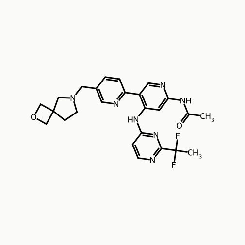 CC(=O)Nc1cc(Nc2ccnc(C(C)(F)F)n2)c(-c2ccc(CN3CCC4(COC4)C3)cn2)cn1